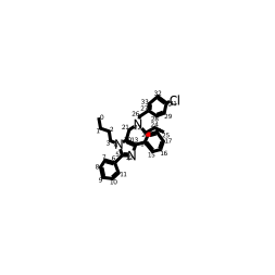 CCCCn1c(-c2ccccc2)nc(-c2ccccc2)c1CN(CCC)Cc1ccc(Cl)cc1